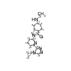 CCNc1ccc2c(c1)CN(c1cccc(-c3nncn3C3CC3)n1)C2=O